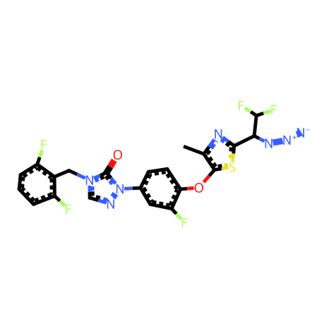 Cc1nc(C(N=[N+]=[N-])C(F)F)sc1Oc1ccc(-n2ncn(Cc3c(F)cccc3F)c2=O)cc1F